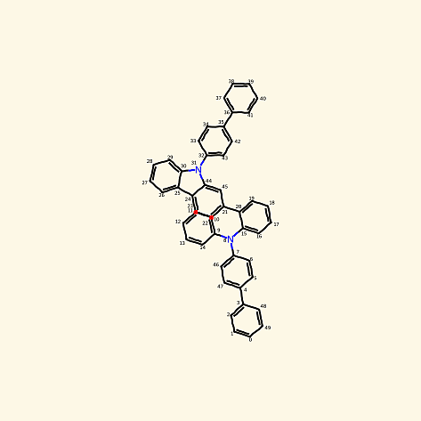 c1ccc(-c2ccc(N(c3ccccc3)c3ccccc3-c3ccc4c5ccccc5n(-c5ccc(-c6ccccc6)cc5)c4c3)cc2)cc1